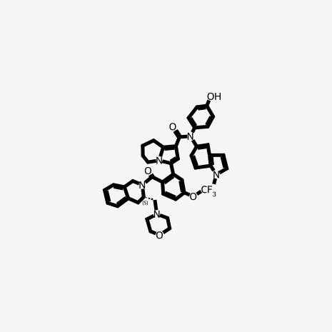 Cn1ccc2cc(N(C(=O)c3cc(-c4cc(OC(F)(F)F)ccc4C(=O)N4Cc5ccccc5C[C@H]4CN4CCOCC4)n4c3CCCC4)c3ccc(O)cc3)ccc21